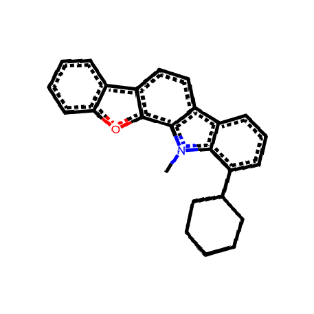 Cn1c2c(C3CCCCC3)cccc2c2ccc3c4ccccc4oc3c21